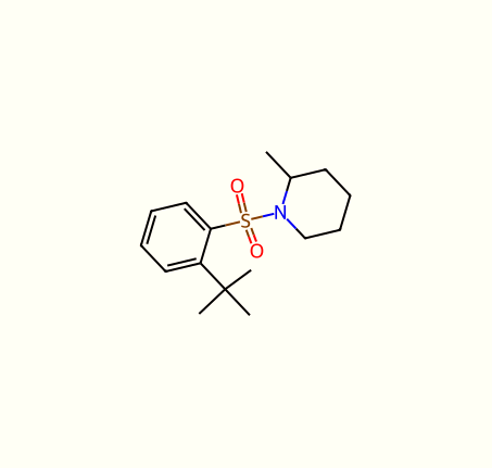 CC1CCCCN1S(=O)(=O)c1ccccc1C(C)(C)C